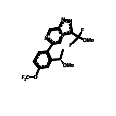 CO[C@@H](C)c1cc(OC(F)(F)F)ccc1-c1cn2c(C(F)(F)OC)nnc2cn1